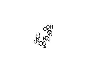 O=C(O)c1ccnc(-c2cnc(N3CC4(CC4)c4ccc(C(=O)N5CCOCC5)cc43)nc2)c1